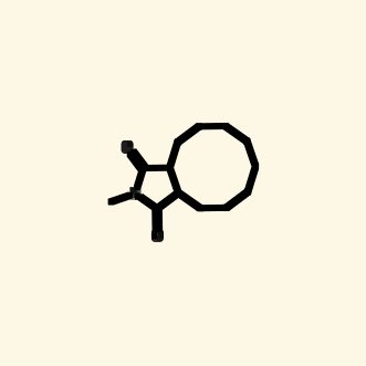 CN1C(=O)C2CCCCCCCCC2C1=O